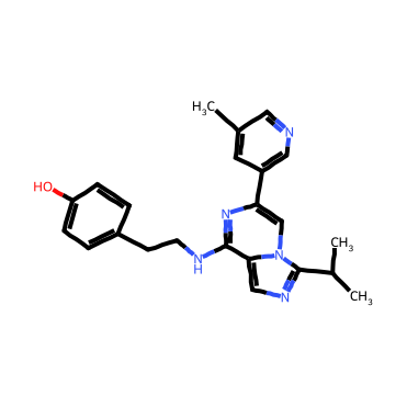 Cc1cncc(-c2cn3c(C(C)C)ncc3c(NCCc3ccc(O)cc3)n2)c1